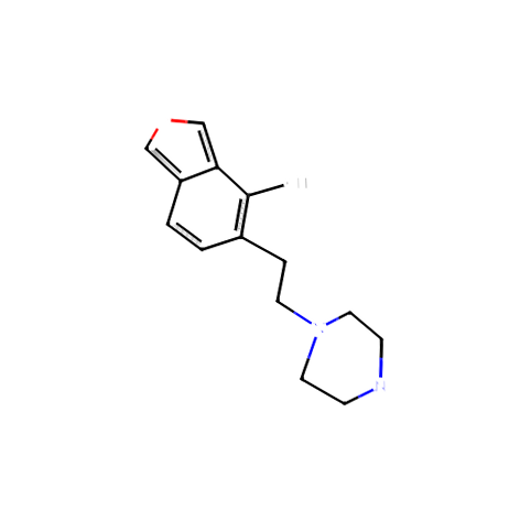 Cc1c(CCN2CCNCC2)ccc2cocc12